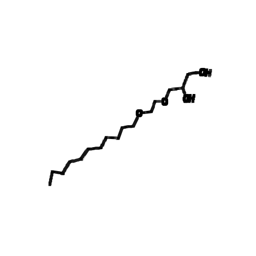 CCCCCCCCCCCOCCOCC(O)CO